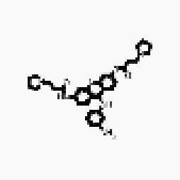 Nc1cccc(Nc2c3ccc(NC(=O)CCN4CCCC4)cc3nc3cc(NC(=O)CCN4CCCC4)ccc23)c1